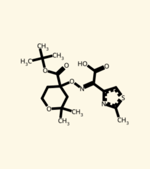 Cc1nc(/C(=N/OC2(C(=O)OC(C)(C)C)CCOC(C)(C)C2)C(=O)O)cs1